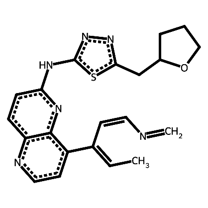 C=N/C=C\C(=C/C)c1ccnc2ccc(Nc3nnc(CC4CCCO4)s3)nc12